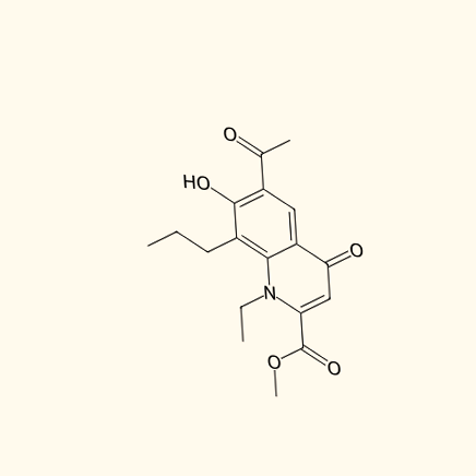 CCCc1c(O)c(C(C)=O)cc2c(=O)cc(C(=O)OC)n(CC)c12